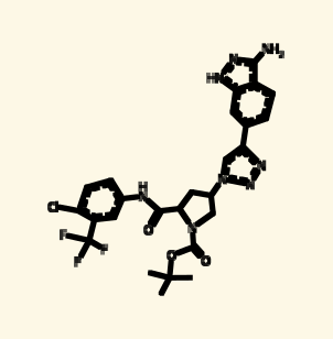 CC(C)(C)OC(=O)N1CC(n2cc(-c3ccc4c(N)n[nH]c4c3)nn2)CC1C(=O)Nc1ccc(Cl)c(C(F)(F)F)c1